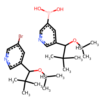 C[SiH](C)OC(c1cncc(B(O)O)c1)C(C)(C)C.C[SiH](C)OC(c1cncc(Br)c1)C(C)(C)C